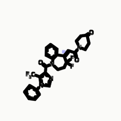 O=C1CCN(C(=O)/C=C2/c3ccccc3N(C(=O)c3ncn(-c4ccccc4)c3C(F)(F)F)CCC2(F)F)CC1